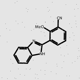 COc1c(C#N)cccc1-c1nc2ccccc2[nH]1